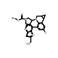 CC(C)(C)OC(=O)N1CCC(N2CC3CC3c3cc(Cl)cc(-c4ccnc5cc(CO)sc45)c32)C1